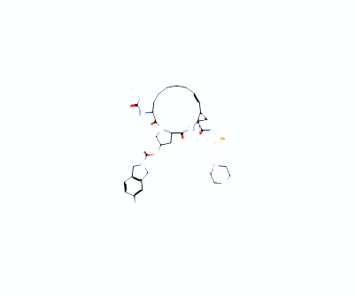 C1COCCN1.CC(C)(C)OC(=O)NC1CCCCCC=CC2CC2(C(=O)N=S(=O)=O)NC(=O)C2CC(OC(=O)N3Cc4ccc(Cl)cc4C3)CN2C1=O